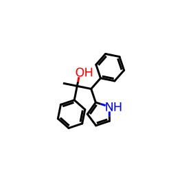 CC(O)(c1ccccc1)C(c1ccccc1)c1ccc[nH]1